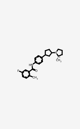 Cc1ccc(F)cc1C(=O)Nc1ccc(C2CCC(N3CCC[C@@H]3C)C2)cc1